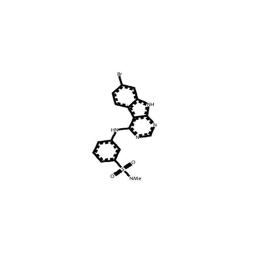 CNS(=O)(=O)c1cccc(Nc2ncnc3[nH]c4cc(Br)ccc4c23)c1